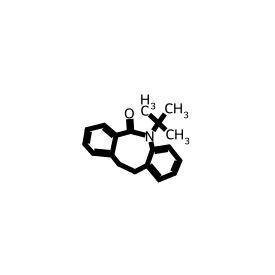 CC(C)(C)N1C(=O)c2ccccc2CCc2ccccc21